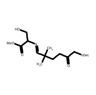 CCCCCCCCCCCC(=O)CCC(C)(C)/C=N/C(CO)C(=O)OC